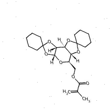 C=C(C)C(=O)OC[C@H]1O[C@@H]2OC3(CCCCC3)O[C@@H]2[C@H]2OC3(CCCCC3)O[C@@H]21